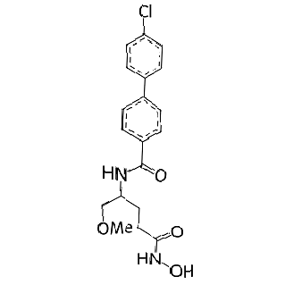 COCC(CCC(=O)NO)NC(=O)c1ccc(-c2ccc(Cl)cc2)cc1